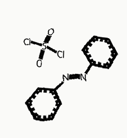 O=S(=O)(Cl)Cl.c1ccc(N=Nc2ccccc2)cc1